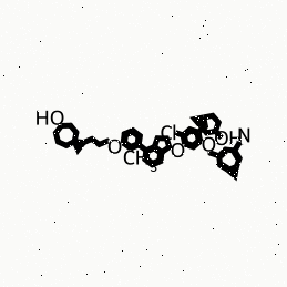 Cc1c(OCCCC2CC23CCCC(O)CC3)cccc1-c1cccc2c1CC[C@@H]2Oc1cc(OCC2=CC(C#N)=CC3CC3=C2)c(CC23CCC(O)CC2C3)cc1Cl